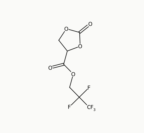 O=C1OCC(C(=O)OCC(F)(F)C(F)(F)F)O1